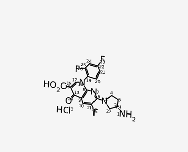 Cl.N[C@H]1CCN(c2nc3c(cc2F)c(=O)c(C(=O)O)cn3-c2ccc(F)cc2F)C1